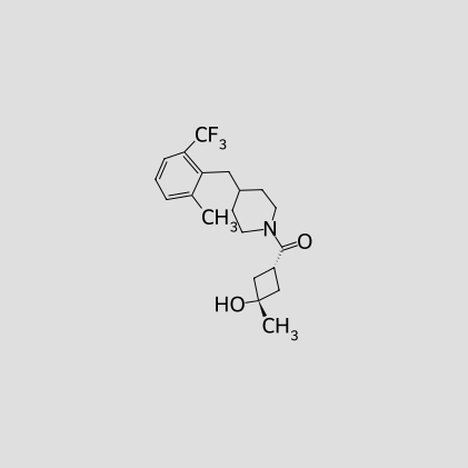 Cc1cccc(C(F)(F)F)c1CC1CCN(C(=O)[C@H]2C[C@@](C)(O)C2)CC1